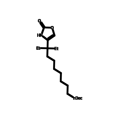 CCCCCCCCCCCCCCCCCC(CC)(CC)c1coc(=O)[nH]1